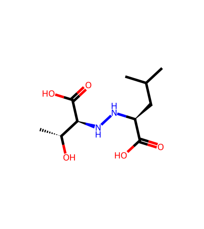 CC(C)C[C@H](NN[C@H](C(=O)O)[C@@H](C)O)C(=O)O